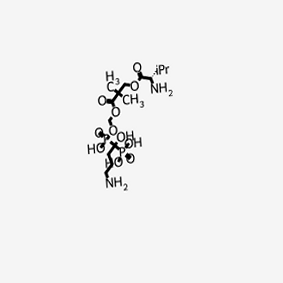 CC(C)[C@H](N)C(=O)OCC(C)(C)C(=O)OCOP(=O)(O)C(O)(CCCN)P(=O)(O)O